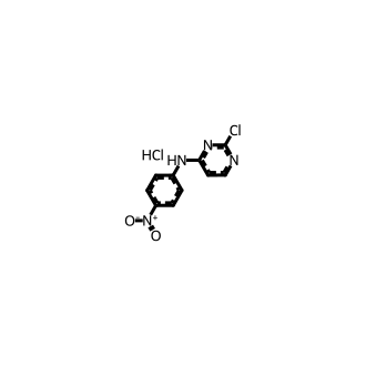 Cl.O=[N+]([O-])c1ccc(Nc2ccnc(Cl)n2)cc1